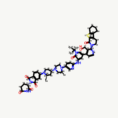 [2H]C([2H])([2H])n1cc(-c2ccnc(N3CCc4c(sc5c4CCCC5)C3=O)c2CO)cc(Nc2ccc(N3CCN([C@@H]4CCN(c5ccc6c(c5)C(=O)N([C@H]5CCC(=O)NC5=O)C6=O)[C@H](C)C4)C[C@@H]3C)cn2)c1=O